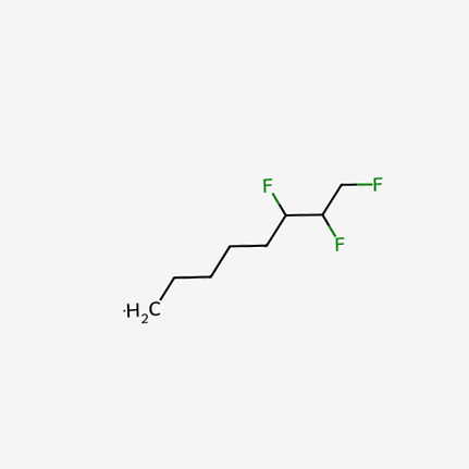 [CH2]CCCCC(F)C(F)CF